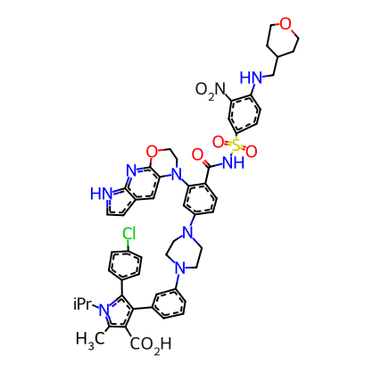 Cc1c(C(=O)O)c(-c2cccc(N3CCN(c4ccc(C(=O)NS(=O)(=O)c5ccc(NCC6CCOCC6)c([N+](=O)[O-])c5)c(N5CCOc6nc7[nH]ccc7cc65)c4)CC3)c2)c(-c2ccc(Cl)cc2)n1C(C)C